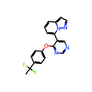 CC(F)(F)c1ccc(Oc2ncncc2-c2cccc3ccnn23)cc1